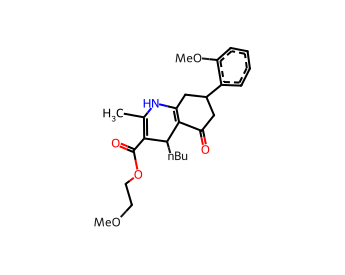 CCCCC1C(C(=O)OCCOC)=C(C)NC2=C1C(=O)CC(c1ccccc1OC)C2